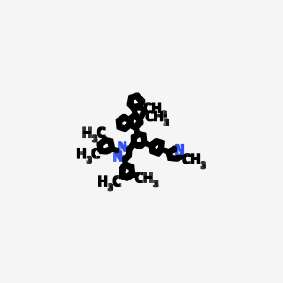 Cc1cc(C)cc(-c2cc(-c3cc(-c4ccc(-c5ccc(C)nc5)cc4)cc(-c4cc5c(c6ccccc46)-c4ccccc4C5(C)C)c3)nc(-c3cc(C)cc(C)c3)n2)c1